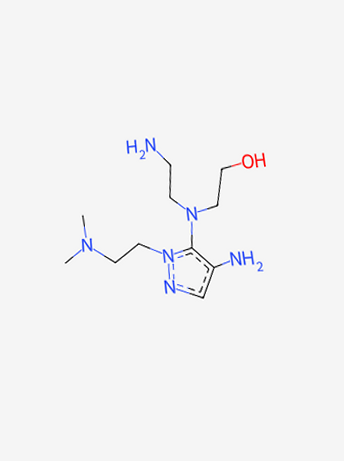 CN(C)CCn1ncc(N)c1N(CCN)CCO